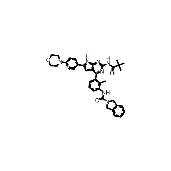 Cc1c(NC(=O)N2Cc3ccccc3C2)cccc1-c1nc(NC(=O)C(C)(C)C)nc2[nH]c(-c3ccc(N4CCOCC4)nc3)cc12